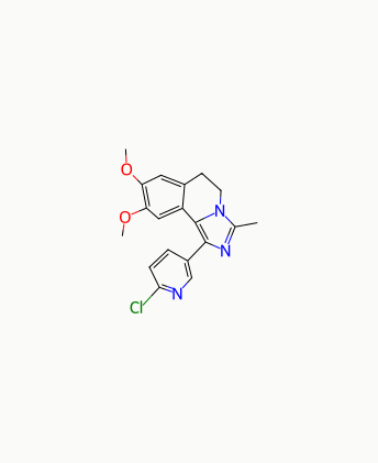 COc1cc2c(cc1OC)-c1c(-c3ccc(Cl)nc3)nc(C)n1CC2